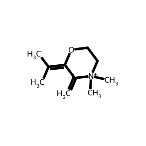 C=C1C(=C(C)C)OCC[N+]1(C)C